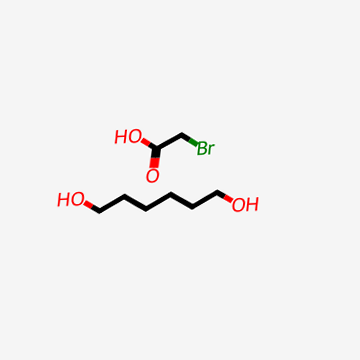 O=C(O)CBr.OCCCCCCO